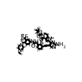 CCN1CCN(Cc2ccc(NC(=O)Cc3cccc(C#Cc4cnc(N)nc4-c4cc5c(n4C)CCN(C(=O)OC(C)(C)C)C5=O)c3F)cc2C(F)(F)F)CC1